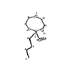 CO[Si]1(CCCI)OCCOCCO1